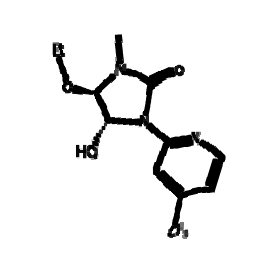 CCO[C@@H]1[C@@H](O)N(c2cc(C(F)(F)F)ccn2)C(=O)N1C